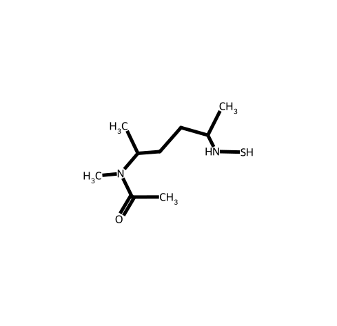 CC(=O)N(C)C(C)CCC(C)NS